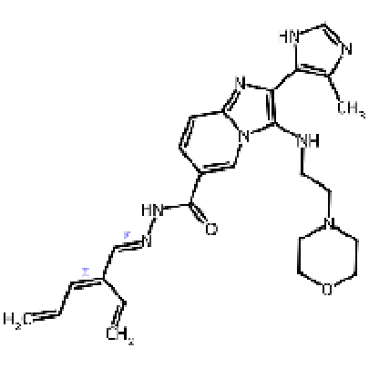 C=C/C=C(C=C)/C=N/NC(=O)c1ccc2nc(-c3[nH]cnc3C)c(NCCN3CCOCC3)n2c1